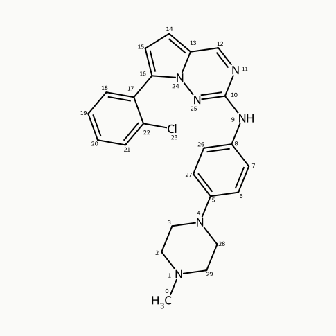 CN1CCN(c2ccc(Nc3ncc4ccc(-c5ccccc5Cl)n4n3)cc2)CC1